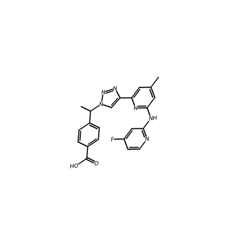 Cc1cc(Nc2cc(F)ccn2)nc(-c2cn(C(C)c3ccc(C(=O)O)cc3)nn2)c1